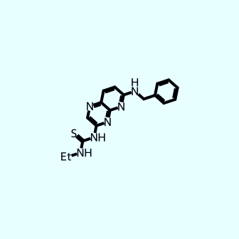 CCNC(=S)Nc1cnc2ccc(NCc3ccccc3)nc2n1